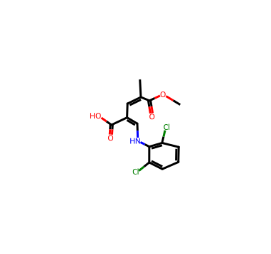 COC(=O)C(C)=CC(=CNc1c(Cl)cccc1Cl)C(=O)O